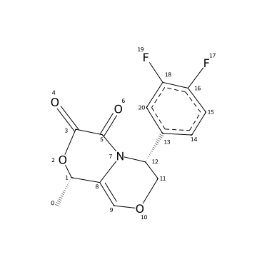 C[C@@H]1OC(=O)C(=O)N2C1=COC[C@H]2c1ccc(F)c(F)c1